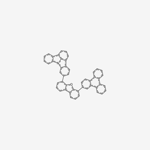 c1cc(-c2ccc3c4ccccc4c4ccccc4c3c2)c2oc3c(-c4ccc5c6cccc7c8ccccc8n(c5c4)c76)cccc3c2c1